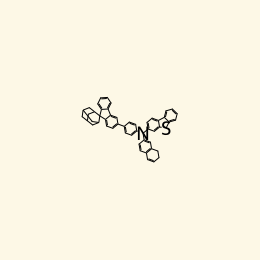 C1=Cc2ccc(N(c3ccc(-c4ccc5c(c4)-c4ccccc4C54C5CC6CC(C5)CC4C6)cc3)c3ccc4c(c3)sc3ccccc34)cc2CC1